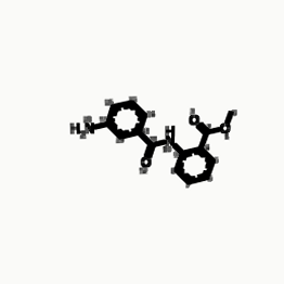 COC(=O)c1ccccc1NC(=O)c1cccc(N)c1